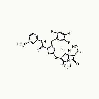 C[C@@H](O)[C@H]1C(=O)N2C(C(=O)O)=C(S[C@H]3C[C@@H](C(=O)Nc4cccc(C(=O)O)c4)N(Cc4cc(F)c(F)cc4F)C3)[C@H](C)[C@H]12